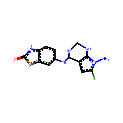 Nn1c(Br)cc2c1NCNC2Nc1ccc2[nH]c(=O)sc2c1